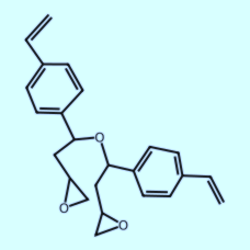 C=Cc1ccc(C(CC2CO2)OC(CC2CO2)c2ccc(C=C)cc2)cc1